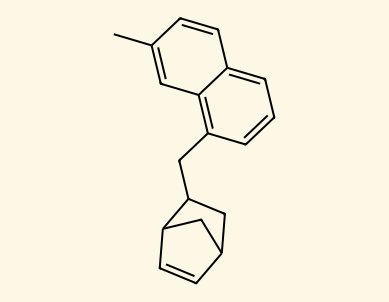 Cc1ccc2cccc(CC3CC4C=CC3C4)c2c1